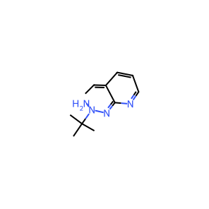 C/C=C1/C=CC=N/C1=N/N(N)C(C)(C)C